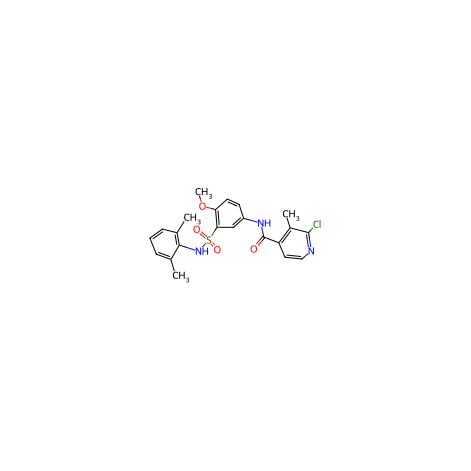 COc1ccc(NC(=O)c2ccnc(Cl)c2C)cc1S(=O)(=O)Nc1c(C)cccc1C